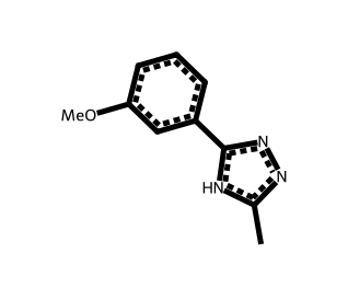 COc1cccc(-c2nnc(C)[nH]2)c1